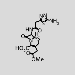 COC(=O)CC1=C(C(=O)O)N2C(=O)[C@@H](NC(=O)Cc3nnc(N)s3)[C@@H]2SC1